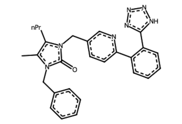 CCCc1c(C)n(Cc2ccccc2)c(=O)n1Cc1ccc(-c2ccccc2-c2nnn[nH]2)nc1